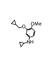 COc1ccc(NC2CC2)cc1OCC1CC1